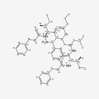 CCCC(=O)OC(CN(CC(C)C)NC(=O)[C@@H](NC(=O)OCc1ccccc1)[C@@H](C)CC)C(C(=O)[C@@H](NC(=O)OCc1ccccc1)[C@@H](C)CC)C(N)c1ccccc1